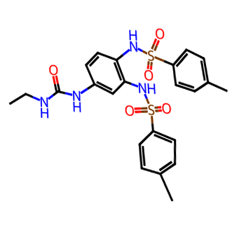 CCNC(=O)Nc1ccc(NS(=O)(=O)c2ccc(C)cc2)c(NS(=O)(=O)c2ccc(C)cc2)c1